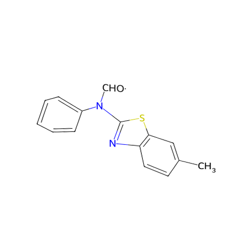 Cc1ccc2nc(N([C]=O)c3ccccc3)sc2c1